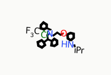 CC(C)CNc1cccc(OCCCN(Cc2cccc(C(F)(F)F)c2Cl)CC(c2ccccc2)c2ccccc2)c1